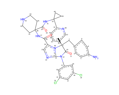 C[C@@]1(Cc2ccc(N)cc2)C(=O)N(c2cc(Cl)cc(Cl)c2)c2ncc(C(=O)NC3(C(=O)NC4(c5ccccn5)CC4)CCNCC3)n21